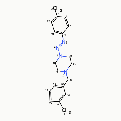 Cc1ccc(N=NN2CCN(Cc3cccc(C)c3)CC2)cc1